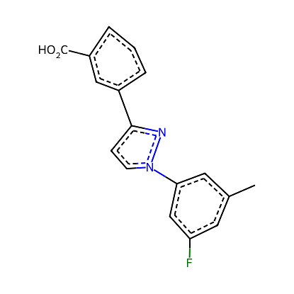 Cc1cc(F)cc(-n2ccc(-c3cccc(C(=O)O)c3)n2)c1